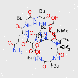 CCCC[C@@H]1NC(=O)[C@H](C)NC(=O)[C@H](NC(=O)[C@H](CO)NC(=O)[C@@H](NC(=O)[C@H](NC(=O)[C@@H](CCC(N)=O)NC(=O)[C@H](CO)NC(=O)[C@@H](NC(=O)[C@@H](Cc2ccccc2)NC)[C@@H](C)CC)[C@H](C)CC)[C@@H](C)CC)[C@H](C)OC(=O)[C@H]([C@@H](C)CC)NC1=O